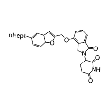 CCCCCCCC1=CC2C=C(COc3cccc4c3CN(C3CCC(=O)NC3=O)C4=O)OC2C=C1